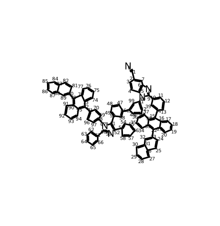 N#Cc1ccc2c(c1)nc(-c1cccc(-c3c4ccccc4c(-c4ccc5ccccc5c4)c4ccccc34)c1)n2-c1cccc(-c2cccc(-c3c(-c4ccccc4)nc(-c4ccccc4)n3-c3ccc(-c4c5ccccc5c(-c5ccc6ccccc6c5)c5ccccc45)cc3)c2)c1